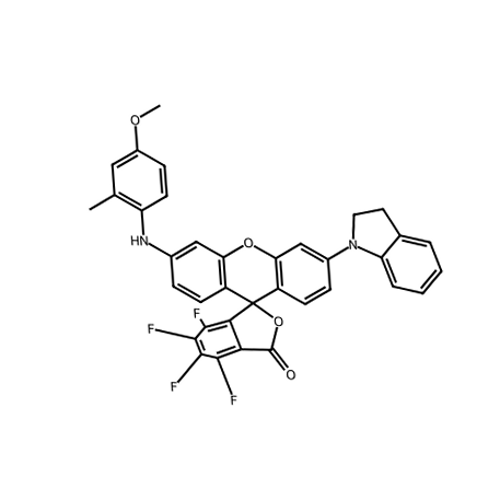 COc1ccc(Nc2ccc3c(c2)Oc2cc(N4CCc5ccccc54)ccc2C32OC(=O)c3c(F)c(F)c(F)c(F)c32)c(C)c1